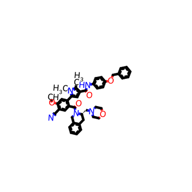 COc1cc(-c2cc(C(=O)Nc3ccc(OCc4ccccc4)cc3)c(C)n2C)c(C(=O)N2Cc3ccccc3C[C@H]2CN2CCOCC2)cc1C#N